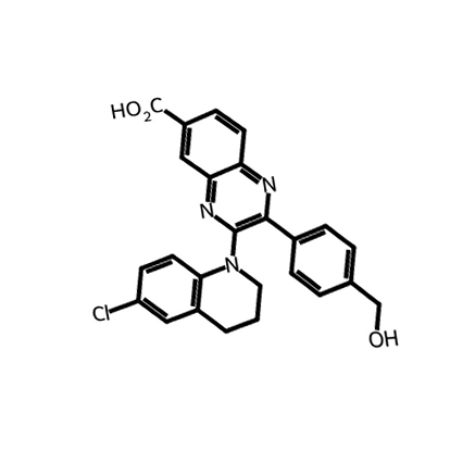 O=C(O)c1ccc2nc(-c3ccc(CO)cc3)c(N3CCCc4cc(Cl)ccc43)nc2c1